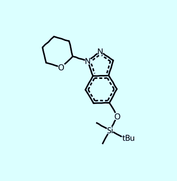 CC(C)(C)[Si](C)(C)Oc1ccc2c(cnn2C2CCCCO2)c1